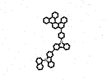 c1ccc2c(-n3c4ccccc4c4cc(-c5ccc6c(c5)c5ccccc5n6-c5ccc(-c6cc7ccccc7c7c6ccc6c8ccccc8c8ccccc8c67)cc5)ccc43)cccc2c1